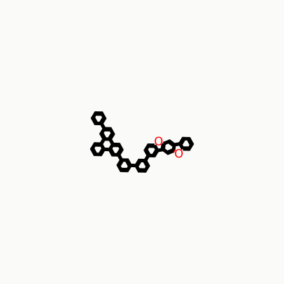 c1ccc(-c2ccc3c4ccc(-c5cccc(-c6cccc(-c7ccc8oc9cc%10c(cc9c8c7)oc7ccccc7%10)c6)c5)cc4c4ccccc4c3c2)cc1